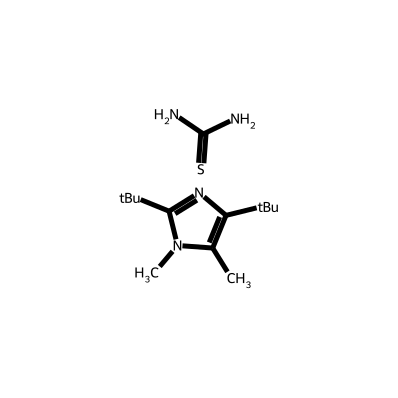 Cc1c(C(C)(C)C)nc(C(C)(C)C)n1C.NC(N)=S